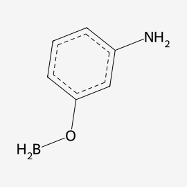 BOc1cccc(N)c1